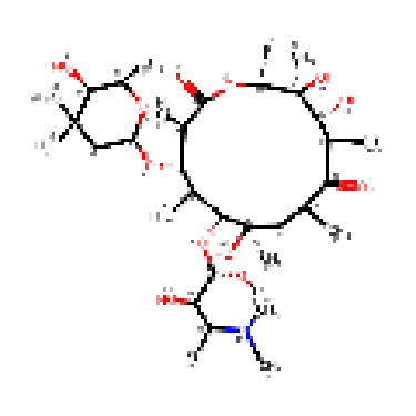 CCO[C@@H](O[C@@H]1C(C)[C@H](O[C@H]2CC(C)(OC)[C@@H](O)[C@@H](C)O2)[C@@H](C)C(=O)O[C@H](CC)[C@@](C)(O)[C@H](O)[C@@H](C)C(=O)C(C)C[C@@]1(C)O)C(O)C(CC)N(C)C